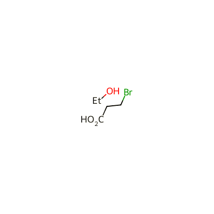 CCO.O=C(O)CCBr